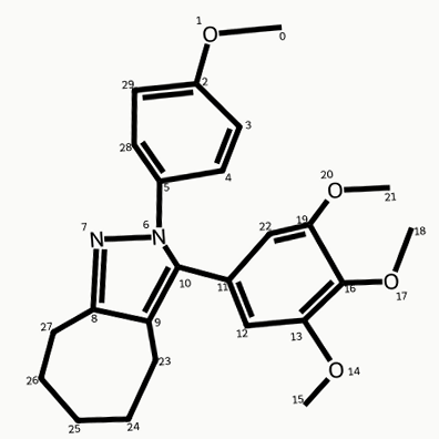 COc1ccc(-n2nc3c(c2-c2cc(OC)c(OC)c(OC)c2)CCCCC3)cc1